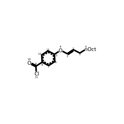 CCCCCCCCCC=COc1ccc(C(=O)Cl)cc1